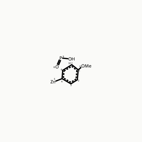 COc1cc[c]([Zn])cc1.O=PO